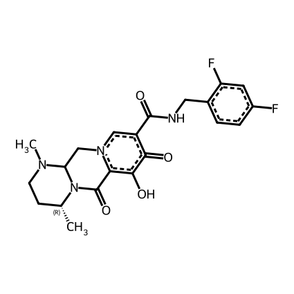 C[C@@H]1CCN(C)C2Cn3cc(C(=O)NCc4ccc(F)cc4F)c(=O)c(O)c3C(=O)N21